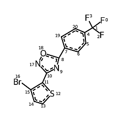 FC(F)(F)c1ccc(-c2nc(-c3sccc3Br)no2)cc1